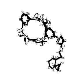 CC1(C)CC2CN1c1nc(-n3ccc(OCCC4CCCCC45CC5)n3)ccc1C(=O)NS(=O)(=O)c1cccc(n1)NC[Si](C)(C)C2